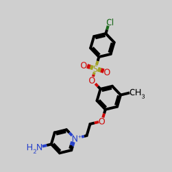 Cc1cc(OCC[n+]2ccc(N)cc2)cc(OS(=O)(=O)c2ccc(Cl)cc2)c1